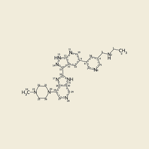 CCNCc1cncc(-c2cnc3[nH]nc(-c4nc5c(N6CCN(C)CC6)cncc5[nH]4)c3c2)c1